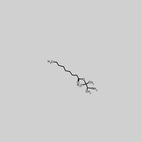 CCCCCCCCC(=O)OC(C)(C)C(C)N